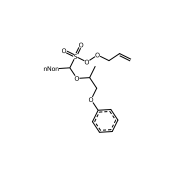 C=CCOOS(=O)(=O)C(CCCCCCCCC)OC(C)COc1ccccc1